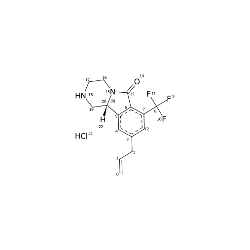 C=CCc1cc2c(c(C(F)(F)F)c1)C(=O)N1CCNC[C@@H]21.Cl